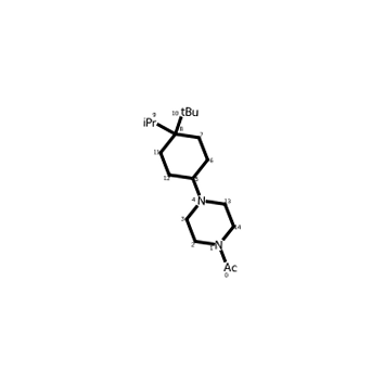 CC(=O)N1CCN(C2CCC(C(C)C)(C(C)(C)C)CC2)CC1